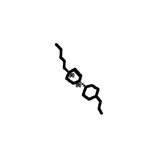 CCCCC[C@H]1C=C[C@H](C2CCC(CCC)CC2)CC1